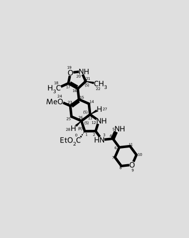 CCOC(=O)[C@H]1C(NC(=N)C2CCOCC2)N[C@H]2CC(C3=C(C)ON[C@H]3C)=C(OC)C[C@H]21